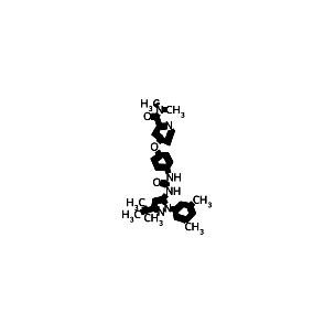 Cc1cc(C)cc(-n2nc(C(C)(C)C)cc2NC(=O)Nc2ccc(Oc3ccnc(C(=O)N(C)C)c3)cc2)c1